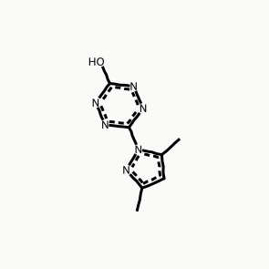 Cc1cc(C)n(-c2nnc(O)nn2)n1